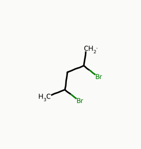 [CH2]C(Br)CC(C)Br